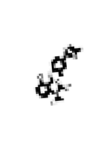 COC(=O)N(C(C)=O)c1cccc(Cl)c1COc1ccc(-c2nc(C)cs2)cc1C